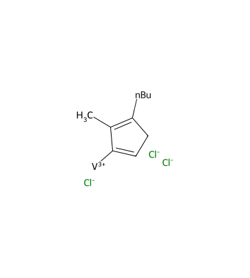 CCCCC1=C(C)[C]([V+3])=CC1.[Cl-].[Cl-].[Cl-]